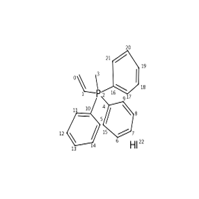 C=CP(C)(c1ccccc1)(c1ccccc1)c1ccccc1.I